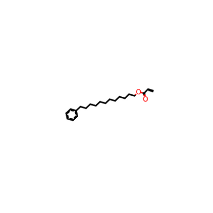 C=CC(=O)OCCCCCCCCCCCCc1ccccc1